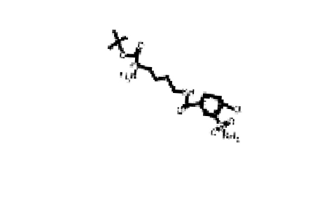 CC(C)(C)OC(=O)[C@@H](N)CCCCNC(=O)c1ccc(Cl)c(S(N)(=O)=O)c1